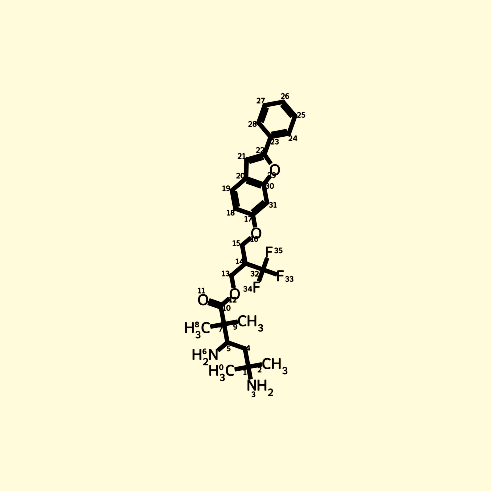 CC(C)(N)CC(N)C(C)(C)C(=O)OCC(COc1ccc2cc(-c3ccccc3)oc2c1)C(F)(F)F